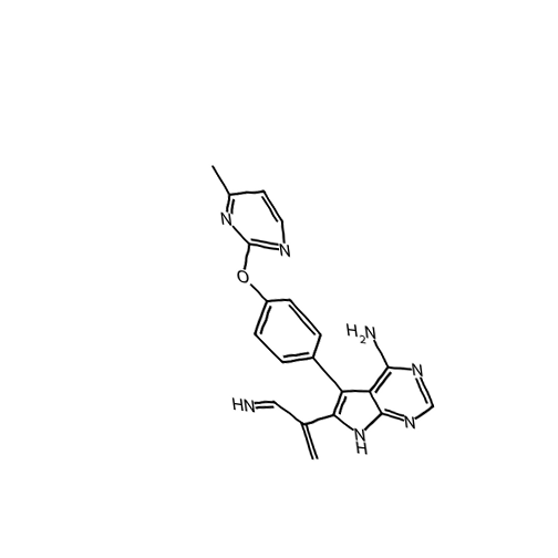 C=C(C=N)c1[nH]c2ncnc(N)c2c1-c1ccc(Oc2nccc(C)n2)cc1